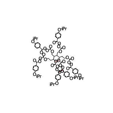 CC(C)Oc1ccc(C(=O)OOC(=O)OCCC(COC(=O)OOC(=O)c2ccc(OC(C)C)cc2)C(COC(=O)OOC(=O)c2ccc(OC(C)C)cc2)C(COC(=O)OOC(=O)c2ccc(OC(C)C)cc2)C(CCOC(=O)OOC(=O)c2ccc(OC(C)C)cc2)COC(=O)OOC(=O)c2ccc(OC(C)C)cc2)cc1